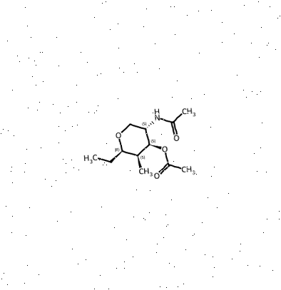 CC[C@H]1OC[C@H](NC(C)=O)[C@@H](OC(C)=O)[C@H]1C